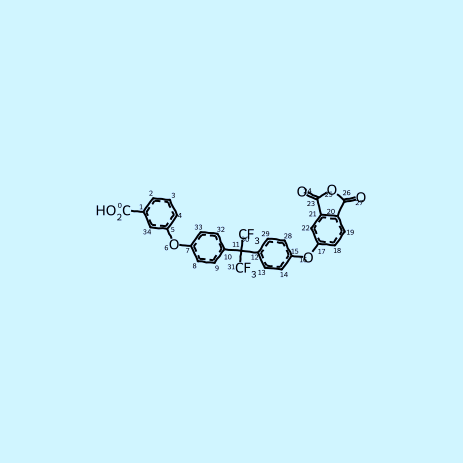 O=C(O)c1cccc(Oc2ccc(C(c3ccc(Oc4ccc5c(c4)C(=O)OC5=O)cc3)(C(F)(F)F)C(F)(F)F)cc2)c1